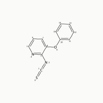 S=C=Nc1ncccc1Oc1ccccc1